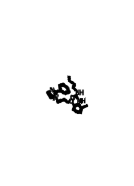 CCCCNC(=O)Nc1c(C)cccc1OCCCn1ccnc1-c1ccccc1